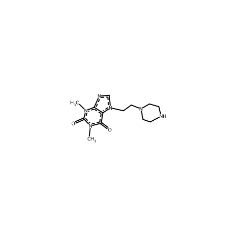 Cn1c(=O)c2c(ncn2CCN2CCNCC2)n(C)c1=O